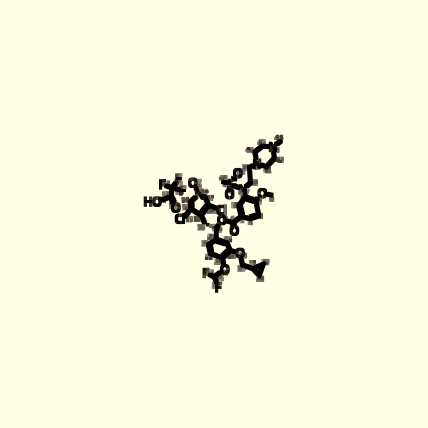 COc1ccc(C(=O)O[C@@H](Cc2c(Cl)c[n+]([O-])cc2Cl)c2ccc(OC(F)F)c(OCC3CC3)c2)cc1N(CCN1CCN(C)CC1)S(C)(=O)=O.O=C(O)C(F)(F)F